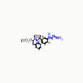 CCOC(=O)[C@H](Cc1ccccc1)N(NC(=O)c1cccc(NC=NN)c1)C(=O)OCC